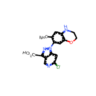 COc1cc2c(cc1-n1nc(C(=O)O)c3cnc(Cl)cc31)OCCN2